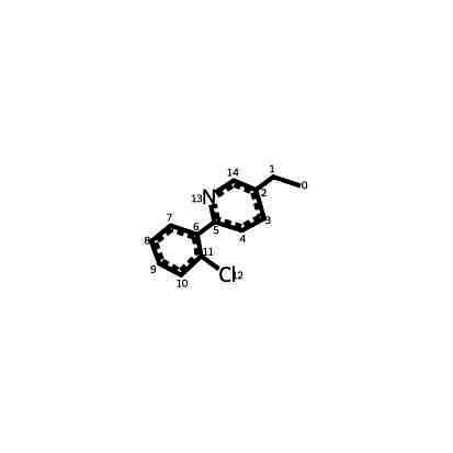 CCc1ccc(-c2ccccc2Cl)nc1